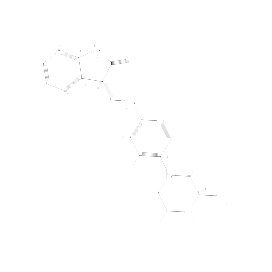 CC1CN(c2ccc(NC=C3C(=O)Nc4ccccc43)cc2F)CC(C)O1